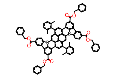 Cc1cccc(C)c1-c1cc2c3c(cc4c(-c5c(C)cccc5C)cc5c6c(cc1c3c46)B1c3ccc(C(=O)OCc4ccccc4)cc3-c3cc(C(=O)OCc4ccccc4)cc-5c31)B1c3ccc(C(=O)OCc4ccccc4)cc3-c3cc(C(=O)OCc4ccccc4)cc-2c31